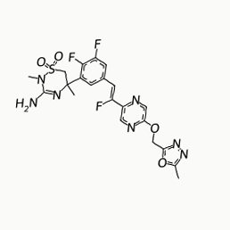 Cc1nnc(COc2cnc(C(F)=Cc3cc(F)c(F)c(C4(C)CS(=O)(=O)N(C)C(N)=N4)c3)cn2)o1